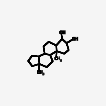 CC12CCCC1C1CCC3C(O)C(O)CCC3(C)C1CC2